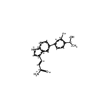 CC(O)c1ccc(-c2cnc3[nH]cc(C=CC(N)=O)c3c2)cc1F